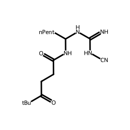 CCCCCC(NC(=N)NC#N)NC(=O)CCC(=O)C(C)(C)C